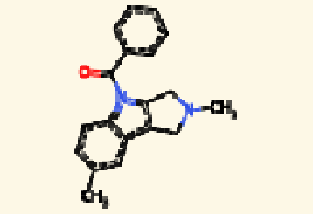 Cc1ccc2c(c1)c1c(n2C(=O)c2ccccc2)CN(C)C1